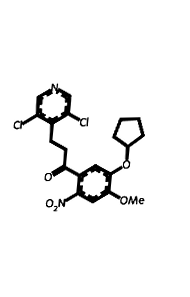 COc1cc([N+](=O)[O-])c(C(=O)CCc2c(Cl)cncc2Cl)cc1OC1CCCC1